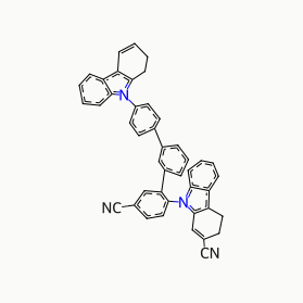 N#CC1=Cc2c(c3ccccc3n2-c2ccc(C#N)cc2-c2cccc(-c3ccc(-n4c5c(c6ccccc64)C=CCC5)cc3)c2)CC1